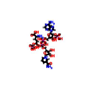 NC(=O)c1ccc[n+]([C@@H]2O[C@H](COP(=O)(O)OP(=O)(O)OC[C@H]3O[C@@H](n4cnc5c(N)ncnc54)[C@H](OP(=O)(O)O)[C@@H]3O)[C@@H](O)[C@H]2O)c1.NC(CCC(=O)OP(=O)(O)O)C(=O)O